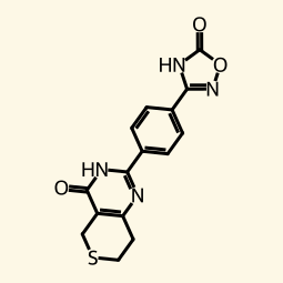 O=c1[nH]c(-c2ccc(-c3nc4c(c(=O)[nH]3)CSCC4)cc2)no1